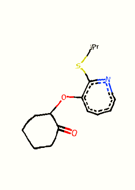 CC(C)Sc1ncccc1OC1CCCCC1=O